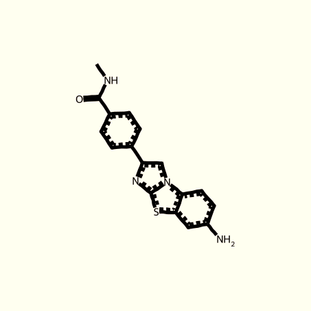 CNC(=O)c1ccc(-c2cn3c(n2)sc2cc(N)ccc23)cc1